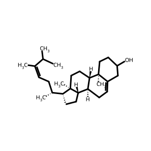 CC(=CC[C@@H](C)[C@H]1CC[C@H]2[C@@H]3CC=C4CC(O)CC[C@]4(C)[C@H]3CC[C@]12C)C(C)C